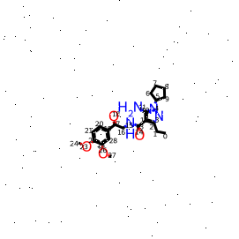 CCc1nn(C2CCCC2)c(N)c1C(=O)NCC(=O)c1ccc(OC)c(OC)c1